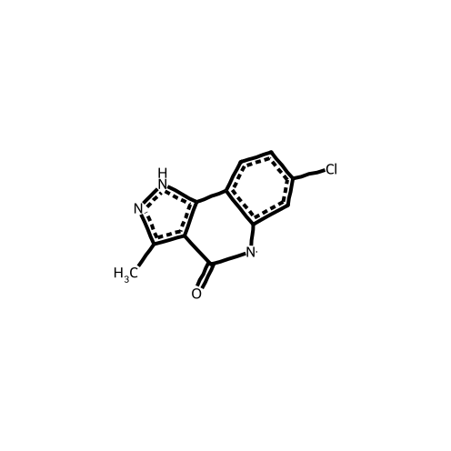 Cc1n[nH]c2c1C(=O)[N]c1cc(Cl)ccc1-2